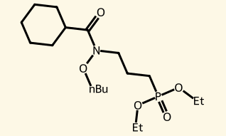 CCCCON(CCCP(=O)(OCC)OCC)C(=O)C1CCCCC1